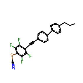 CCCc1ccc(-c2ccc(C#Cc3c(F)c(F)c(SC#N)c(F)c3F)cc2)cc1